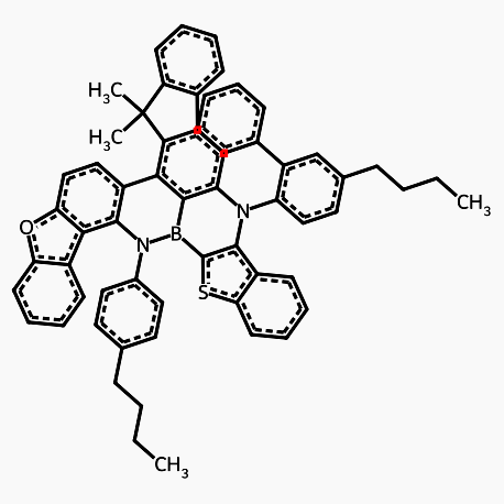 CCCCc1ccc(N2B3c4sc5ccccc5c4N(c4ccc(CCCC)cc4-c4ccccc4)c4cc5c(c(c43)-c3ccc4oc6ccccc6c4c32)C(C)(C)c2ccccc2-5)cc1